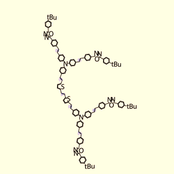 CC(C)(C)c1ccc(-c2nnc(-c3ccc(/C=C/c4ccc(N(c5ccc(/C=C/c6ccc(-c7nnc(-c8ccc(C(C)(C)C)cc8)o7)cc6)cc5)c5ccc(/C=C/c6ccc(/C=C/c7ccc(/C=C/c8ccc(N(c9ccc(/C=C/c%10ccc(-c%11nnc(-c%12ccc(C(C)(C)C)cc%12)o%11)cc%10)cc9)c9ccc(/C=C/c%10ccc(-c%11nnc(-c%12ccc(C(C)(C)C)cc%12)o%11)cc%10)cc9)cc8)s7)s6)cc5)cc4)cc3)o2)cc1